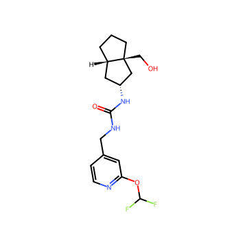 O=C(NCc1ccnc(OC(F)F)c1)N[C@@H]1C[C@@H]2CCC[C@]2(CO)C1